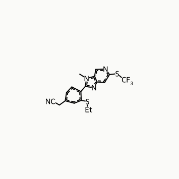 CCSc1cc(CC#N)ccc1-c1nc2cc(SC(F)(F)F)ncc2n1C